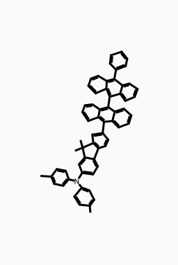 Cc1ccc(N(c2ccc(C)cc2)c2ccc3c(c2)C(C)(C)c2cc(-c4c5ccccc5c(-c5c6ccccc6c(-c6ccccc6)c6ccccc56)c5ccccc45)ccc2-3)cc1